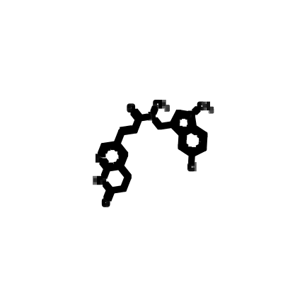 CN(Cc1cn(C)c2ccc(Cl)cc12)C(=O)C=Cc1cnc2c(c1)CCC(=O)N2